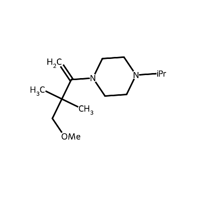 C=C(N1CCN(C(C)C)CC1)C(C)(C)COC